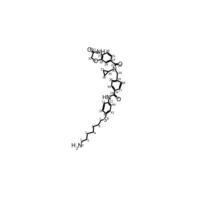 NCCCCCCCSc1ccc(NC(=O)c2ccc(CN(C(=O)c3ccc4c(c3)OCC(=O)N4)C3CC3)cc2)cc1